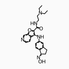 CCN(CC)CCNC(=O)c1oc2cnccc2c1Nc1ccc2c(c1)CCC2=NO